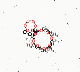 C1CCC(C2CCCCC2)CC1.C1COCCOCCOCCOCCOCCO1.C[C@@H]1C[C@H]2CC[C@H](O2)[C@H](C)C(=O)O[C@@H](C)C[C@@H]2CC[C@@H](O2)[C@@H](C)C(=O)O[C@H](C)C[C@H]2CC[C@H](O2)[C@H](C)C(=O)O[C@@H](C)C[C@@H]2CC[C@@H](O2)[C@@H](C)C(=O)O1